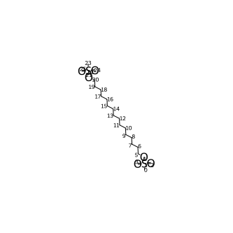 CS(=O)(=O)OCCCCCCCCCCCCCCCCOS(C)(=O)=O